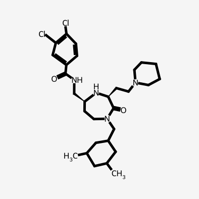 CC1CC(C)CC(CN2CC[C@@H](CNC(=O)c3ccc(Cl)c(Cl)c3)N[C@@H](CCN3CCCCC3)C2=O)C1